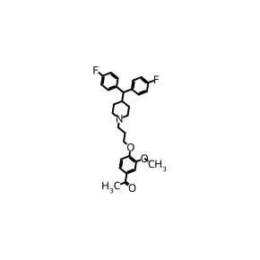 COc1cc(C(C)=O)ccc1OCCCN1CCC(C(c2ccc(F)cc2)c2ccc(F)cc2)CC1